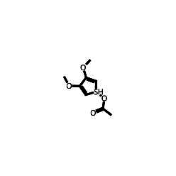 COC1=C[SH](OC(C)=O)C=C1OC